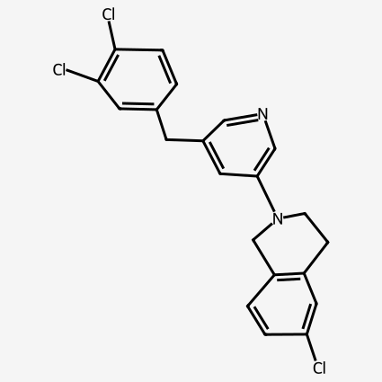 Clc1ccc2c(c1)CCN(c1cncc(Cc3ccc(Cl)c(Cl)c3)c1)C2